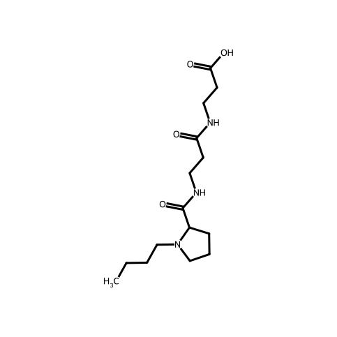 CCCCN1CCCC1C(=O)NCCC(=O)NCCC(=O)O